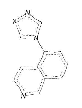 c1cc(-n2cnnc2)c2ccncc2c1